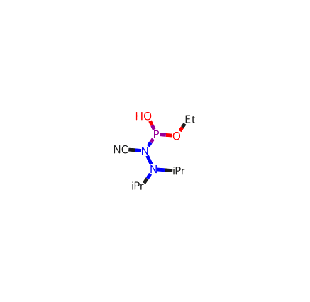 CCOP(O)N(C#N)N(C(C)C)C(C)C